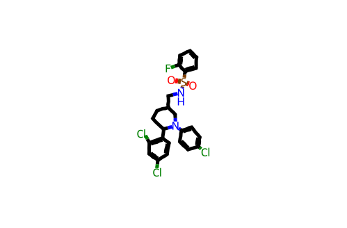 O=S(=O)(NCC1CCC(c2ccc(Cl)cc2Cl)N(c2ccc(Cl)cc2)C1)c1ccccc1F